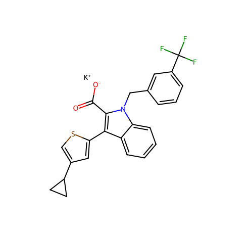 O=C([O-])c1c(-c2cc(C3CC3)cs2)c2ccccc2n1Cc1cccc(C(F)(F)F)c1.[K+]